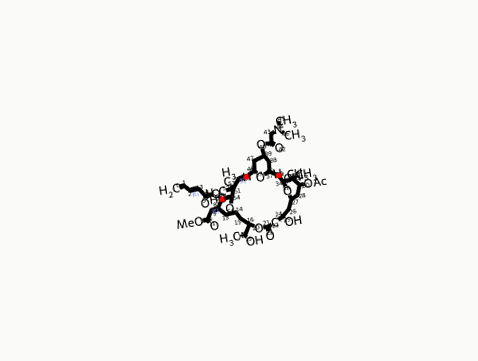 C=C/C=C/C(=O)O[C@H]1/C(=C/C(=O)OC)CC2CC([C@@H](C)O)OC(=O)C[C@H](O)CC3CC(OC(C)=O)C(C)(C)[C@](O)(C[C@@H]4CC(OC(=O)CN(C)C)C[C@H](/C=C/C(C)(C)C1(O)O2)O4)O3